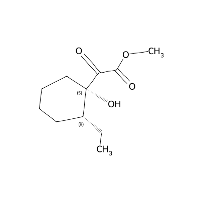 CC[C@@H]1CCCC[C@@]1(O)C(=O)C(=O)OC